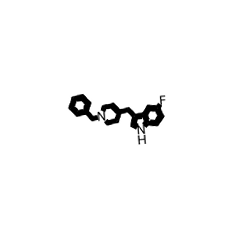 Fc1ccc2[nH]cc(CC3=CCN(Cc4ccccc4)CC3)c2c1